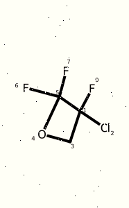 FC1(Cl)COC1(F)F